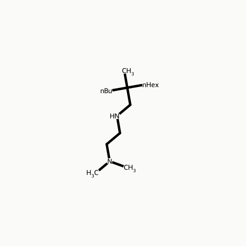 CCCCCCC(C)(CCCC)CNCCN(C)C